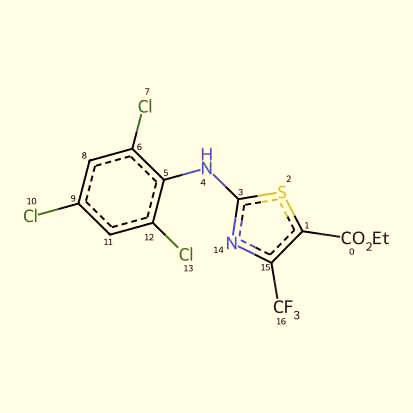 CCOC(=O)c1sc(Nc2c(Cl)cc(Cl)cc2Cl)nc1C(F)(F)F